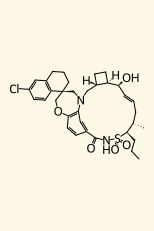 CCC[C@@H]1[C@@H](C)C/C=C/[C@H](O)[C@@H]2CC[C@H]2CN2C[C@@]3(CCCc4cc(Cl)ccc43)COc3ccc(cc32)C(=O)NS1(=O)=O